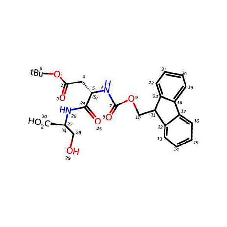 CC(C)(C)OC(=O)C[C@H](NC(=O)OCC1c2ccccc2-c2ccccc21)C(=O)N[C@@H](CO)C(=O)O